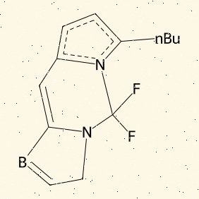 CCCCc1ccc2n1C(F)(F)N1CC=BC1=C2